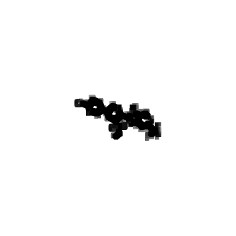 CCS(=O)(=O)c1cc(-c2ccc(Cl)nc2)cnc1-c1nc2cc(C(F)(F)F)ncc2n1C